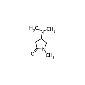 CN1CC(N(C)C)CC1=O